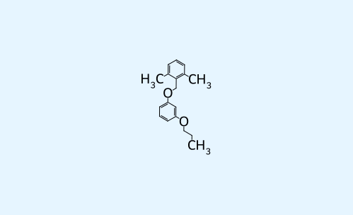 CCCOc1cccc(OCc2c(C)cccc2C)c1